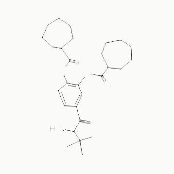 CC(C)(C)C(N)C(=O)c1ccc(OC(=O)C2CCCCCC2)c(OC(=O)C2CCCCCC2)c1